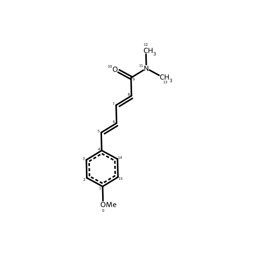 COc1ccc(/C=C/C=C/C(=O)N(C)C)cc1